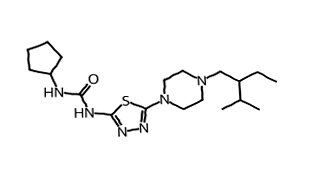 CCC(CN1CCN(c2nnc(NC(=O)NC3CCCC3)s2)CC1)C(C)C